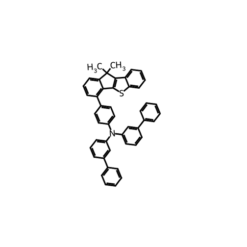 CC1(C)c2cccc(-c3ccc(N(c4cccc(-c5ccccc5)c4)c4cccc(-c5ccccc5)c4)cc3)c2-c2sc3ccccc3c21